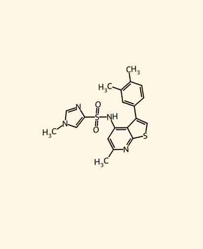 Cc1cc(NS(=O)(=O)c2cn(C)cn2)c2c(-c3ccc(C)c(C)c3)csc2n1